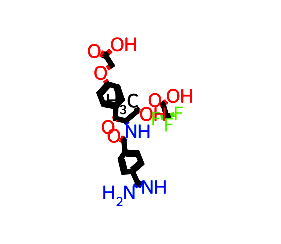 CC(O)C(NC(=O)c1ccc(C(=N)N)cc1)C(=O)c1ccc(OCC(=O)O)cc1.O=C(O)C(F)(F)F